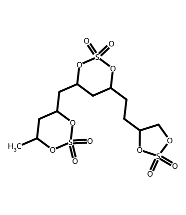 CC1CC(CC2CC(CCC3COS(=O)(=O)O3)OS(=O)(=O)O2)OS(=O)(=O)O1